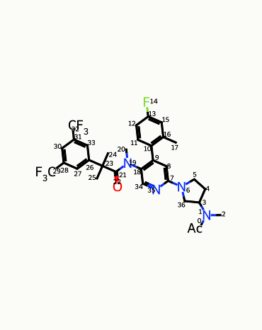 CC(=O)N(C)C1CCN(c2cc(-c3ccc(F)cc3C)c(N(C)C(=O)C(C)(C)c3cc(C(F)(F)F)cc(C(F)(F)F)c3)cn2)C1